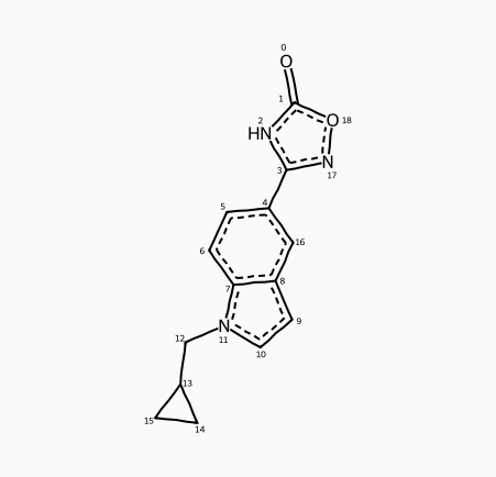 O=c1[nH]c(-c2ccc3c(ccn3CC3CC3)c2)no1